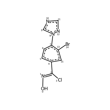 ON=C(Cl)c1ccc(-n2cncn2)c(Br)c1